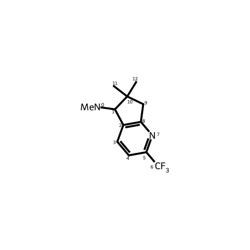 CNC1c2ccc(C(F)(F)F)nc2CC1(C)C